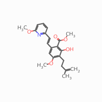 C=C(C)CCc1c(OC)cc(C=Cc2cccc(OC)n2)c(C(=O)OC)c1O